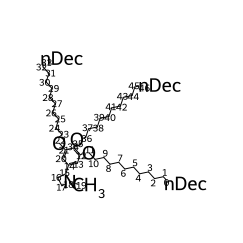 CCCCCCCCCCCCCCCCCCCCOc1cc(C2CCN2C)cc(OCCCCCCCCCCCCCCCCCCCC)c1OCCCCCCCCCCCCCCCCCCCC